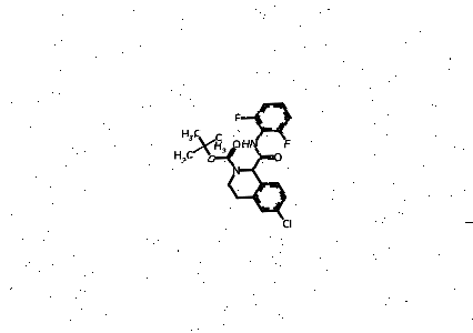 CC(C)(C)OC(=O)N1CCc2cc(Cl)ccc2C1C(=O)Nc1c(F)cccc1F